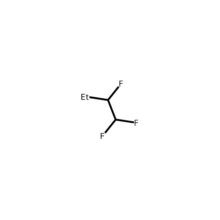 [CH2]CC(F)C(F)F